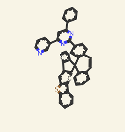 C1=Cc2ccc(-c3nc(-c4ccccc4)cc(-c4cccnc4)n3)cc2C2(c3ccccc31)c1ccccc1-c1cc3sc4ccccc4c3cc12